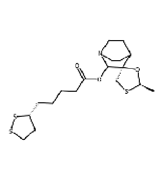 C[C@@H]1O[C@]2(CS1)C1CCN(CC1)C2OC(=O)CCCC[C@@H]1CCSS1